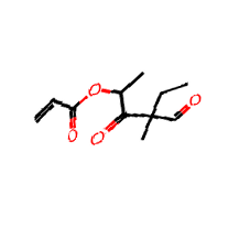 C=CC(=O)OC(C)C(=O)C(C)(C=O)CC